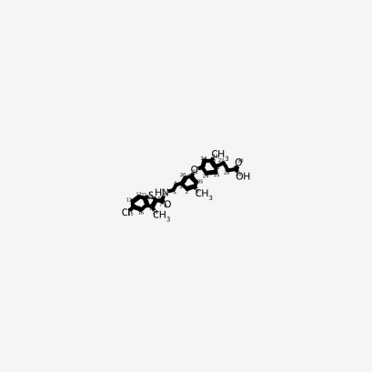 Cc1cc(CCNC(=O)c2sc3ccc(Cl)cc3c2C)cc(Oc2ccc(CCC(=O)O)c(C)c2)c1